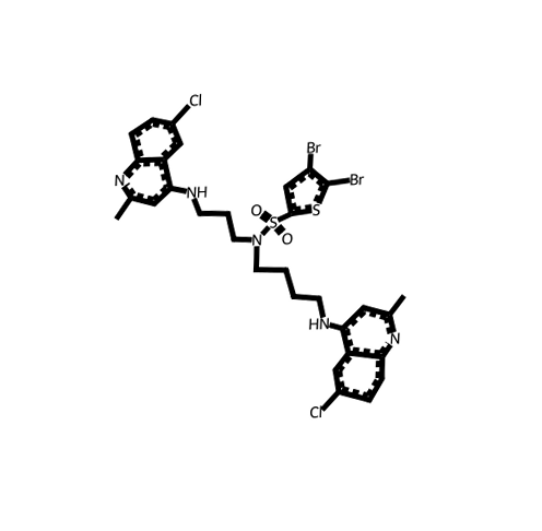 Cc1cc(NCCCCN(CCCNc2cc(C)nc3ccc(Cl)cc23)S(=O)(=O)c2cc(Br)c(Br)s2)c2cc(Cl)ccc2n1